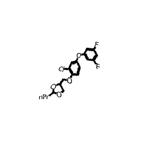 CCCC1OCC(COc2ccc(Oc3cc(F)cc(F)c3)cc2Cl)O1